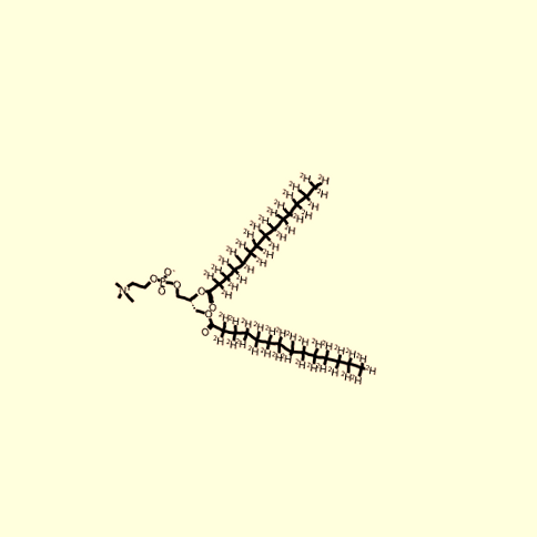 [2H]C([2H])([2H])C([2H])([2H])C([2H])([2H])C([2H])([2H])C([2H])([2H])C([2H])([2H])C([2H])([2H])C([2H])([2H])C([2H])([2H])C([2H])([2H])C([2H])([2H])C([2H])([2H])C([2H])([2H])C(=O)OC[C@H](COP(=O)([O-])OCC[N+](C)(C)C)OC(=O)C([2H])([2H])C([2H])([2H])C([2H])([2H])C([2H])([2H])C([2H])([2H])C([2H])([2H])C([2H])([2H])C([2H])([2H])C([2H])([2H])C([2H])([2H])C([2H])([2H])C([2H])([2H])C([2H])([2H])[2H]